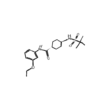 CCOc1cccc(NC(=O)[C@H]2CC[C@H](NS(=O)(=O)C(C)(C)C)CC2)c1